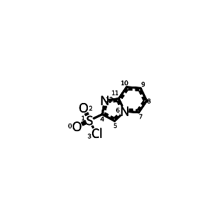 O=S(=O)(Cl)c1cn2ccccc2n1